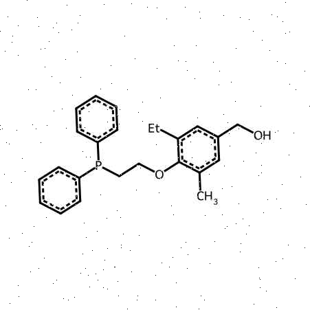 CCc1cc(CO)cc(C)c1OCCP(c1ccccc1)c1ccccc1